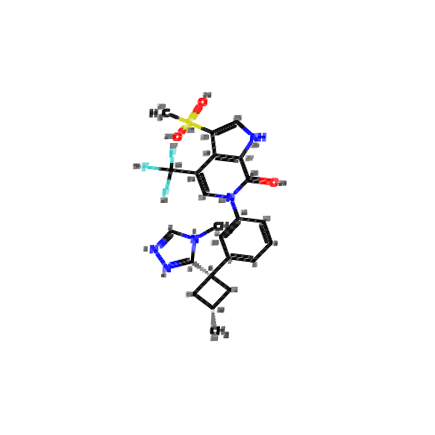 Cn1cnnc1[C@]1(c2cccc(-n3cc(C(F)(F)F)c4c(S(C)(=O)=O)c[nH]c4c3=O)c2)C[C@H](C)C1